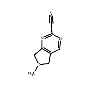 CN1Cc2cnc(C#N)nc2C1